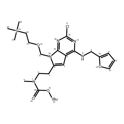 CN(CCc1cc2c(NCc3ccco3)nc(Cl)nc2n1COCC[Si](C)(C)C)C(=O)OC(C)(C)C